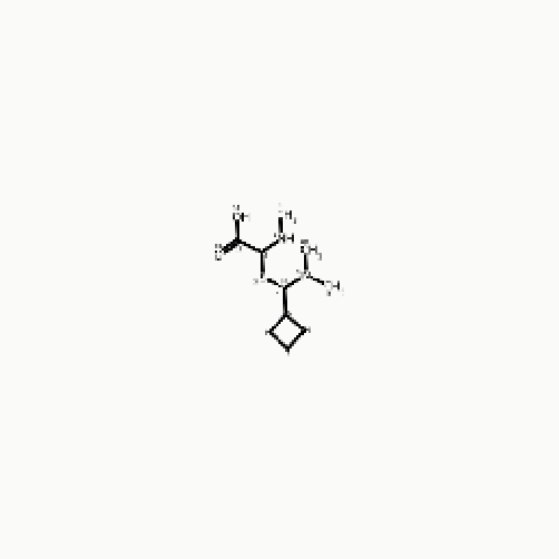 CNC(S[C@H](C1CCC1)N(C)C)C(=O)O